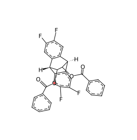 O=C(OC1C(OC(=O)c2ccccc2)[C@H]2c3cc(F)c(F)cc3[C@H]1c1cc(F)c(F)cc12)c1ccccc1